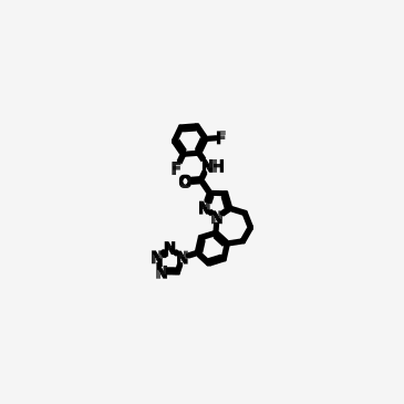 O=C(Nc1c(F)cccc1F)c1cc2n(n1)-c1cc(-n3cnnn3)ccc1CCC2